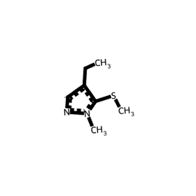 CCc1[c]nn(C)c1SC